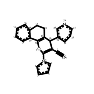 N#CC1=C(n2cccc2)OC2=C(CCc3ccccc32)C1c1cccnc1